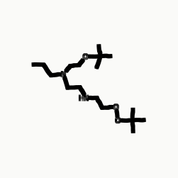 CCCN(CCNCCOOC(C)(C)C)CCOC(C)(C)C